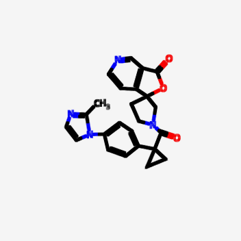 Cc1nccn1-c1ccc(C2(C(=O)N3CCC4(C3)OC(=O)c3cnccc34)CC2)cc1